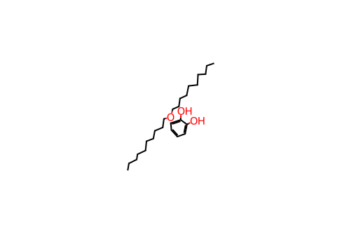 CCCCCCCCCCOCCCCCCCCCC.Oc1ccccc1O